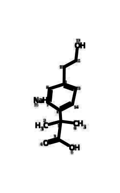 CC(C)(C(=O)O)c1ccc(CCO)cc1.[NaH]